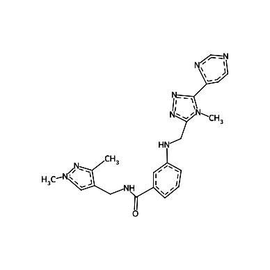 Cc1nn(C)cc1CNC(=O)c1cccc(NCc2nnc(-c3ccncn3)n2C)c1